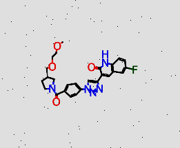 COCCOC[C@@H]1CCN(C(=O)c2ccc(-n3cc(-c4cc5cc(F)ccc5[nH]c4=O)nn3)cc2)C1